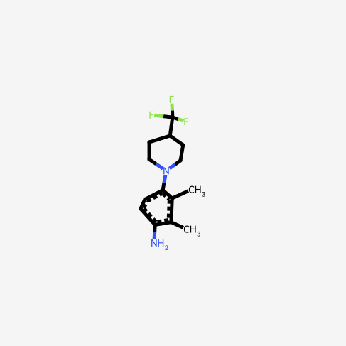 Cc1c(N)ccc(N2CCC(C(F)(F)F)CC2)c1C